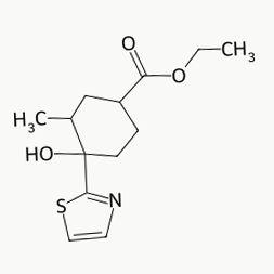 CCOC(=O)C1CCC(O)(c2nccs2)C(C)C1